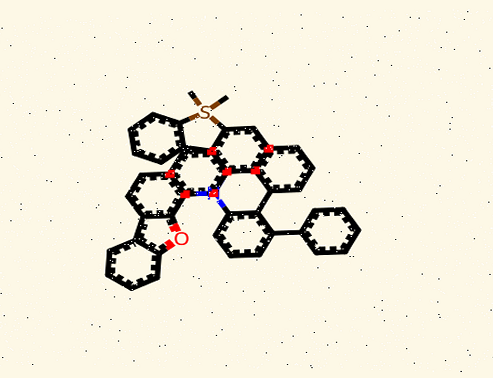 CS1(C)c2ccccc2-c2c(N(c3cccc(-c4ccccc4)c3-c3ccccc3-c3ccccc3)c3cccc4c3oc3ccccc34)cccc21